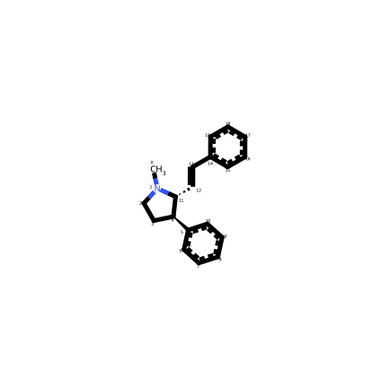 CN1CC[C@H](c2ccccc2)[C@H]1/C=C/c1ccccc1